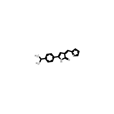 CC(C)c1ccc(C2=CC(=Cc3cccs3)C(=O)N2)cc1